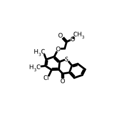 COC(=O)COc1c(C)c(C)c(Cl)c2c(=O)c3ccccc3sc12